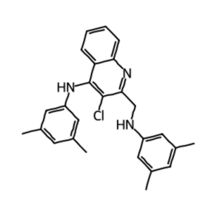 Cc1cc(C)cc(NCc2nc3ccccc3c(Nc3cc(C)cc(C)c3)c2Cl)c1